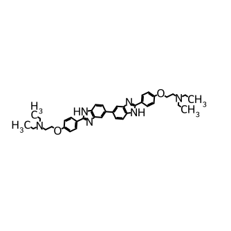 CCN(CC)CCOc1ccc(-c2nc3cc(-c4ccc5[nH]c(-c6ccc(OCCN(CC)CC)cc6)nc5c4)ccc3[nH]2)cc1